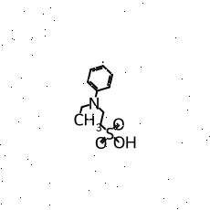 CCN(CCS(=O)(=O)O)c1cc[c]cc1